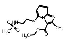 CCOC(=O)c1c(C)nc2cccc(SCCNS(C)(=O)=O)n12